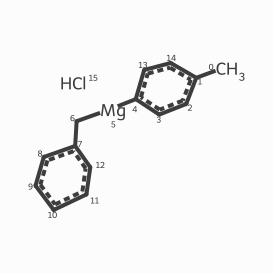 Cc1cc[c]([Mg][CH2]c2ccccc2)cc1.Cl